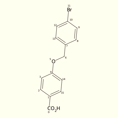 O=C(O)c1ccc(OCc2ccc(Br)cc2)cc1